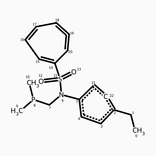 CCc1ccc(N(CP(C)C)S(=O)(=O)C2=CC=CC=C=C2)cc1